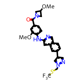 COc1cc(C(=O)N2CC(OC)C2)ccc1Nc1cc2cc(-c3cnn(CSC(F)(F)F)c3)ccc2cn1